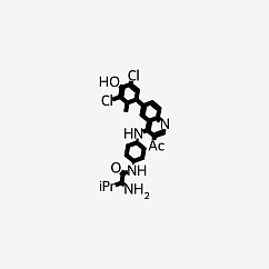 CC(=O)c1cnc2ccc(C3C=C(Cl)C(O)=C(Cl)C3C)cc2c1N[C@H]1CC[C@H](NC(=O)C(N)C(C)C)CC1